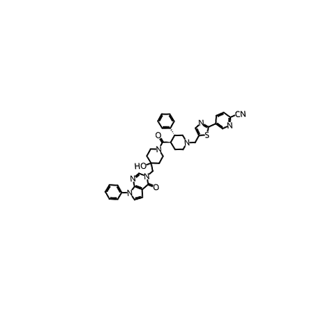 N#Cc1ccc(-c2ncc(CN3CC[C@@H](C(=O)N4CCC(O)(Cn5cnc6c(ccn6-c6ccccc6)c5=O)CC4)[C@H](c4ccccc4)C3)s2)cn1